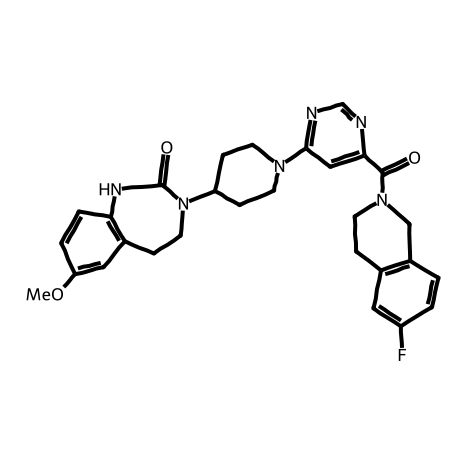 COc1ccc2c(c1)CCN(C1CCN(c3cc(C(=O)N4CCc5cc(F)ccc5C4)ncn3)CC1)C(=O)N2